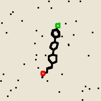 COCC=CC1CCC(C2CCC(c3ccc(Cl)cc3)CC2)CC1